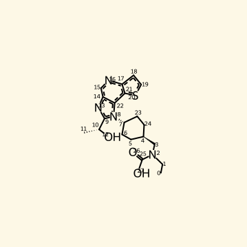 CCN(C[C@H]1CC[C@H](n2c([C@@H](C)O)nc3cnc4ccsc4c32)CC1)C(=O)O